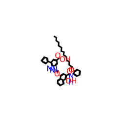 CCCCCCCCCCCCCCOc1ccccc1NC(=O)c1cc(OCn2nnc3c(-c4ccccc4)cc(C(=O)O)cc32)c2ccccc2c1O